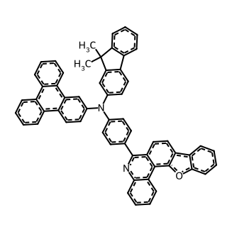 CC1(C)c2ccccc2-c2ccc(N(c3ccc(-c4nc5ccccc5c5c4ccc4c6ccccc6oc45)cc3)c3ccc4c5ccccc5c5ccccc5c4c3)cc21